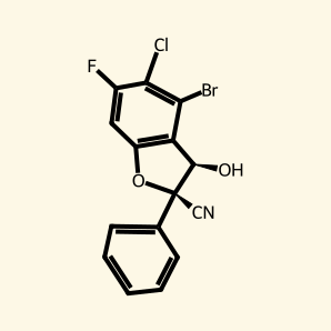 N#C[C@@]1(c2ccccc2)Oc2cc(F)c(Cl)c(Br)c2[C@H]1O